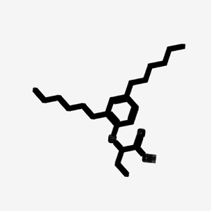 CCCCCCc1ccc(OC(CC)C(=O)O)c(CCCCCC)c1